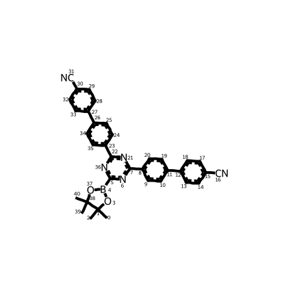 CC1(C)OB(c2nc(-c3ccc(-c4ccc(C#N)cc4)cc3)nc(-c3ccc(-c4ccc(C#N)cc4)cc3)n2)OC1(C)C